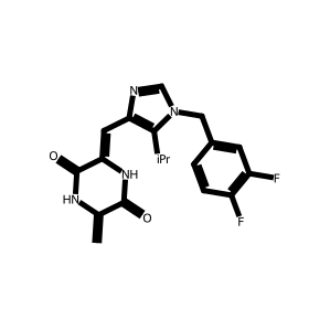 C=c1[nH]c(=O)c(=Cc2ncn(Cc3ccc(F)c(F)c3)c2C(C)C)[nH]c1=O